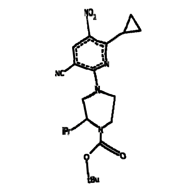 CC(C)C1CN(c2nc(C3CC3)c([N+](=O)[O-])cc2C#N)CCN1C(=O)OC(C)(C)C